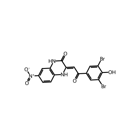 O=C1Nc2cc([N+](=O)[O-])ccc2NC1=CC(=O)c1cc(Br)c(O)c(Br)c1